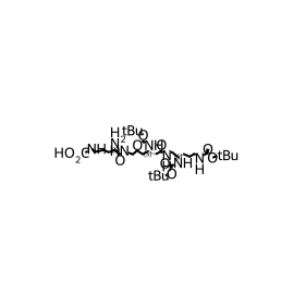 CC(C)(C)OC(=O)NCCC[C@@H](CNC(=O)C[C@H](CCCNC(=O)[C@@H](N)CCCNC(=O)O)NC(=O)OC(C)(C)C)NC(=O)OC(C)(C)C